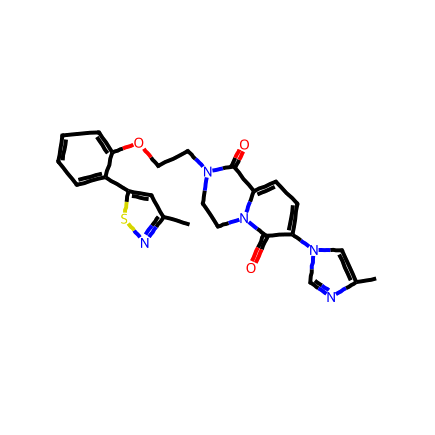 Cc1cn(-c2ccc3n(c2=O)CCN(CCOc2ccccc2-c2cc(C)ns2)C3=O)cn1